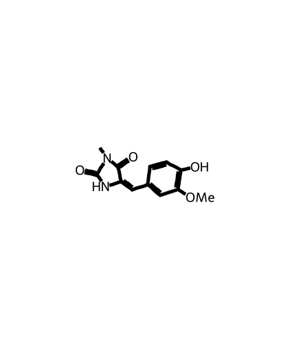 COc1cc(C=C2NC(=O)N(C)C2=O)ccc1O